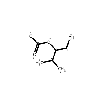 CCC(OC([O])=O)C(C)C